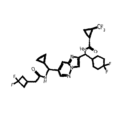 O=C(CC1CC(F)(F)C1)NC(c1cnn2cc([C@@H](NC(=O)[C@H]3CC3C(F)(F)F)C3CCC(F)(F)CC3)nc2c1)C1CC1